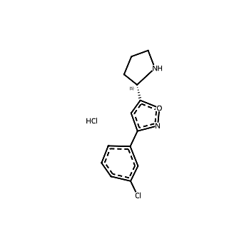 Cl.Clc1cccc(-c2cc([C@@H]3CCCN3)on2)c1